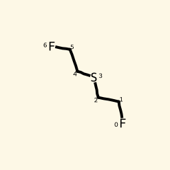 FCCSCCF